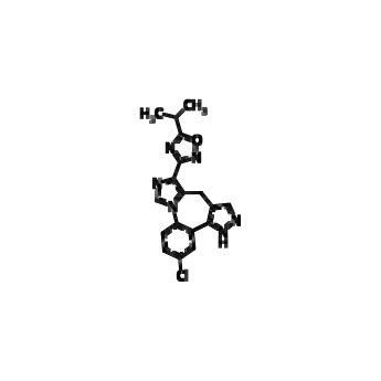 CC(C)c1nc(-c2ncn3c2Cc2cn[nH]c2-c2cc(Cl)ccc2-3)no1